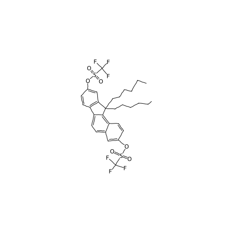 CCCCCCC1(CCCCCC)c2cc(OS(=O)(=O)C(F)(F)F)ccc2-c2ccc3cc(OS(=O)(=O)C(F)(F)F)ccc3c21